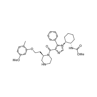 COC(=O)N[C@H]1CCCC[C@@H]1n1cnc(C(=O)N2CCNC[C@H]2CCOc2cc(OC)ccc2C)c1-c1ccccc1